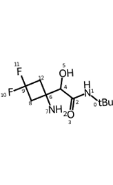 CC(C)(C)NC(=O)C(O)C1(N)CC(F)(F)C1